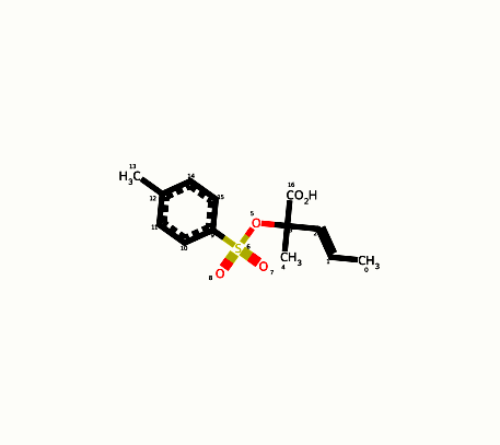 CC=CC(C)(OS(=O)(=O)c1ccc(C)cc1)C(=O)O